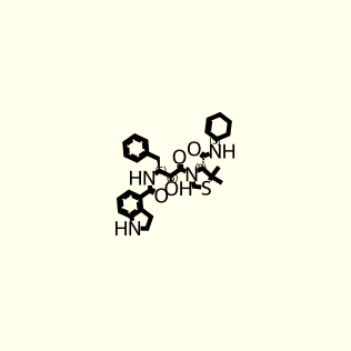 CC1(C)SCN(C(=O)[C@@H](O)[C@H](Cc2ccccc2)NC(=O)c2cccc3c2CCN3)[C@@H]1C(=O)N[C@@H]1C=CCCC1